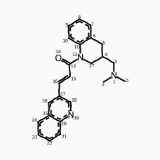 CN(C)CC1Cc2ccccc2N(C(=O)C=Cc2cnc3ccccc3c2)C1